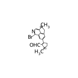 C[C@@H]1CCC(c2cc3c4c(cnc(Br)c4c2)[C@H](C)C3)=C1C=O